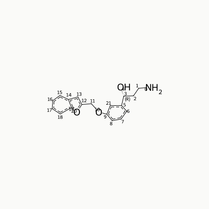 NCC[C@@H](O)c1cccc(OCc2cc3ccccc3o2)c1